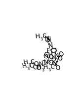 COC(=O)C(OC(=O)N(CC1CN(c2ccc(N3Cc4cn(C)nc4C3)c(F)c2)C(=O)O1)C(C)=O)N1CCN(C(=O)OC(C)(C)C)CC1